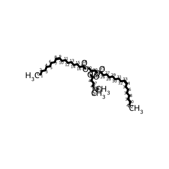 CCCCCCCC/C=C\CCCCCCCC(=O)OCC(COC(=O)CCCCCCC/C=C\CCCCCCCC)OC(=O)CCCN(C)C